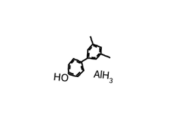 Cc1cc(C)cc(-c2ccc(O)cc2)c1.[AlH3]